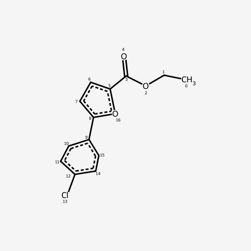 CCOC(=O)c1ccc(-c2ccc(Cl)cc2)o1